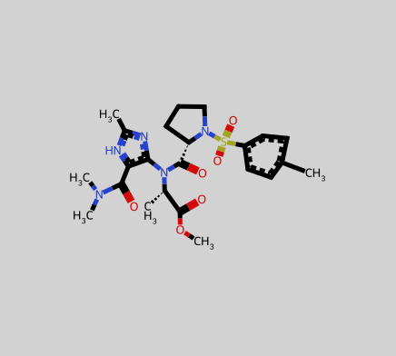 COC(=O)[C@H](C)N(C(=O)[C@@H]1CCCN1S(=O)(=O)c1ccc(C)cc1)c1nc(C)[nH]c1C(=O)N(C)C